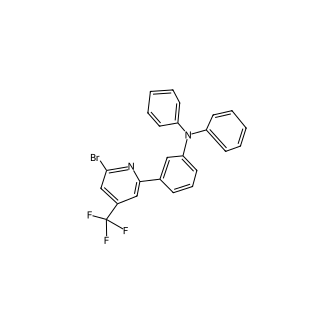 FC(F)(F)c1cc(Br)nc(-c2cccc(N(c3ccccc3)c3ccccc3)c2)c1